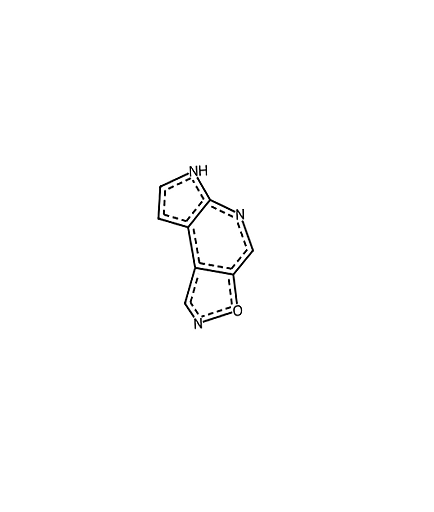 c1cc2c(ncc3oncc32)[nH]1